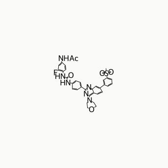 CC(=O)Nc1ccc(NC(=O)Nc2ccc(-c3nc(N4CCOCC4)c4ccc(-c5cccc(S(C)(=O)=O)c5)cc4n3)cc2)c(F)c1